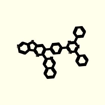 c1ccc(-c2nc(-c3ccccc3)nc(-c3ccc(-c4cc5sc6cnccc6c5nc4-c4cc5ccccc5cn4)cc3)n2)cc1